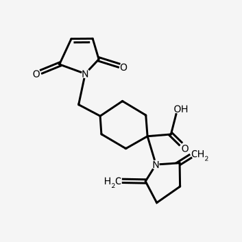 C=C1CCC(=C)N1C1(C(=O)O)CCC(CN2C(=O)C=CC2=O)CC1